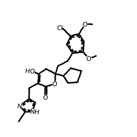 COc1cc(OC)c(CCC2(C3CCCC3)CC(O)=C(Cc3c[nH]c(C)n3)C(=O)O2)cc1Cl